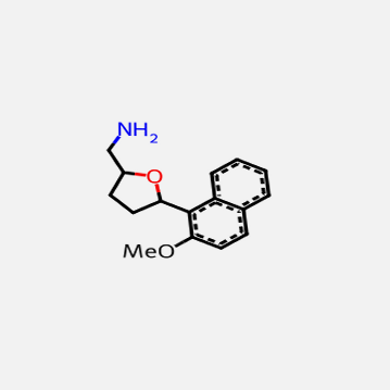 COc1ccc2ccccc2c1C1CCC(CN)O1